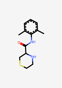 Cc1cccc(C)c1NC(=O)C1CSCCN1